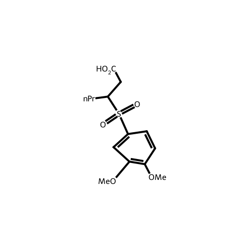 CCCC(CC(=O)O)S(=O)(=O)c1ccc(OC)c(OC)c1